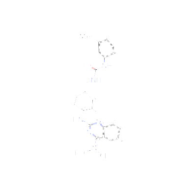 COc1cccc(NC(=O)NC[C@H]2CC[C@@H](Nc3nc(N(C)C)c4ccccc4n3)CC2)c1